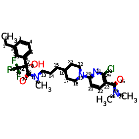 CCc1cccc([C@@](O)(C(=O)N(C)CCCC2CCN(c3ccc(C(=O)N(C)C)c(Cl)n3)CC2)C(F)(F)F)c1